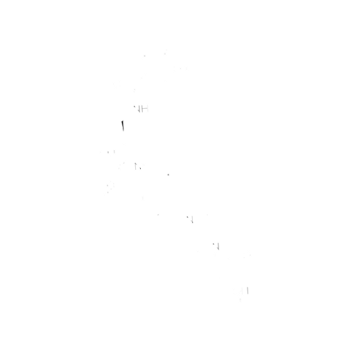 O=C(NC[C@H]1CN(c2ccc(N3CCN(C(=O)CO)CC3)c(F)c2)C(=O)O1)c1ccoc1